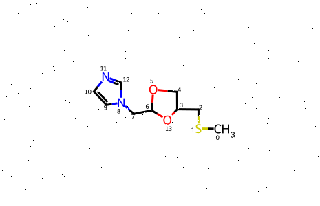 CSCC1COC(Cn2ccnc2)O1